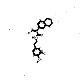 COc1ccc(CCNC(=O)/C(=C\O)c2ccc3c(c2)CCCC3)cc1Cl